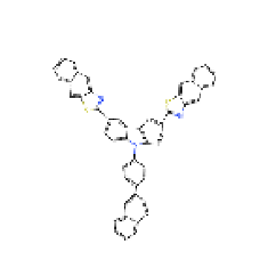 c1ccc2cc(-c3ccc(-n4c5ccc(-c6nc7cc8ccccc8cc7s6)cc5c5cc(-c6nc7cc8ccccc8cc7s6)ccc54)cc3)ccc2c1